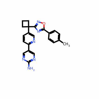 Cc1ccc(-c2nc(C3(c4ccc(-c5cnc(N)nc5)nc4)CCC3)no2)cc1